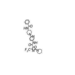 O=C(NC1CCN(c2ccc(NC(=O)c3oc(N4CCCCC4)nc3C(F)(F)F)cn2)CC1)c1ccccc1